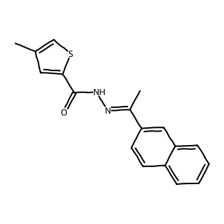 C/C(=N\NC(=O)c1cc(C)cs1)c1ccc2ccccc2c1